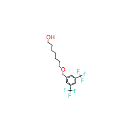 OCCCCCCCOCc1cc(C(F)(F)F)cc(C(F)(F)F)c1